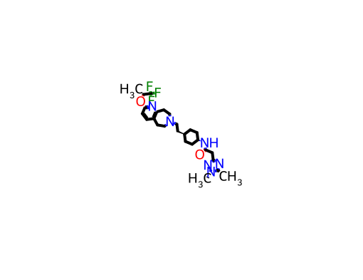 Cc1nc(CC(=O)N[C@H]2CC[C@H](CCN3CCc4ccc(O[C@H](C)C(F)(F)F)nc4CC3)CC2)nn1C